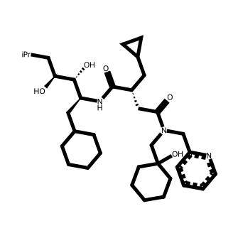 CC(C)C[C@H](O)[C@H](O)[C@H](CC1CCCCC1)NC(=O)[C@@H](CC(=O)N(Cc1ccccn1)CC1(O)CCCCC1)CC1CC1